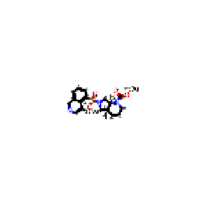 COc1cncc2cccc(S(=O)(=O)N3C[C@H]4CCCN(C(=O)OC(C)(C)C)[C@H]4C3)c12